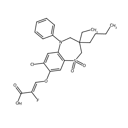 CCCCC1(CC)CN(c2ccccc2)c2cc(Cl)c(OC=C(F)C(=O)O)cc2S(=O)(=O)C1